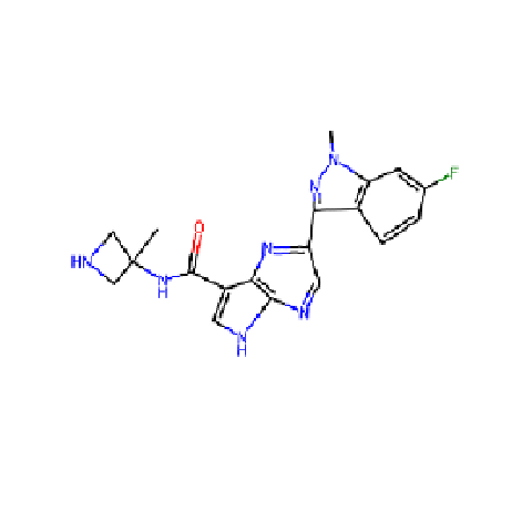 Cn1nc(-c2cnc3[nH]cc(C(=O)NC4(C)CNC4)c3n2)c2ccc(F)cc21